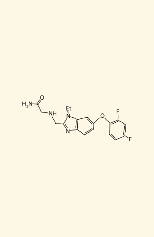 CCn1c(CNCC(N)=O)nc2ccc(Oc3ccc(F)cc3F)cc21